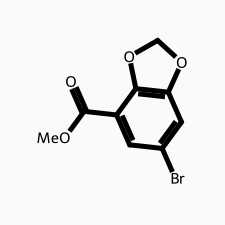 COC(=O)c1cc(Br)cc2c1OCO2